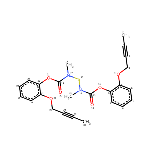 CC#CCOc1ccccc1OC(=O)N(C)SN(C)C(=O)Oc1ccccc1OCC#CC